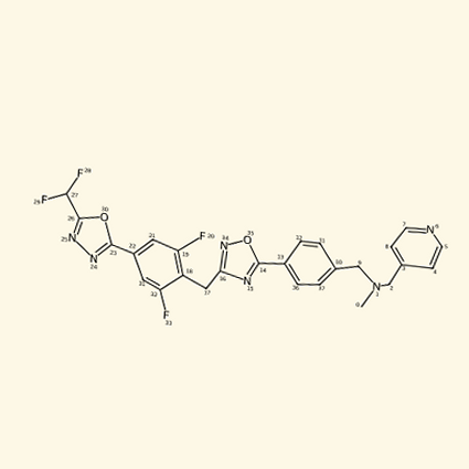 CN(Cc1ccncc1)Cc1ccc(-c2nc(Cc3c(F)cc(-c4nnc(C(F)F)o4)cc3F)no2)cc1